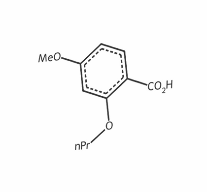 CCCOc1cc(OC)ccc1C(=O)O